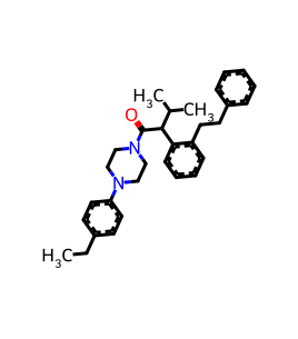 CCc1ccc(N2CCN(C(=O)C(c3ccccc3CCc3ccccc3)C(C)C)CC2)cc1